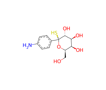 Nc1ccc([C@@]2(S)O[C@H](CO)[C@H](O)[C@H](O)[C@H]2O)cc1